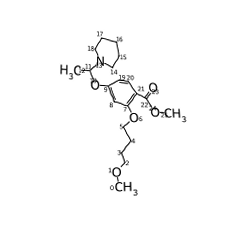 COCCCCOc1cc(OC(C)N2CCCCC2)ccc1C(=O)OC